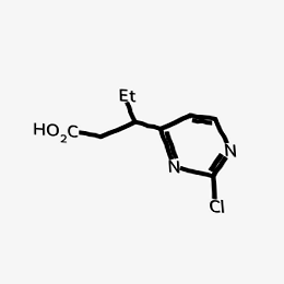 CCC(CC(=O)O)c1ccnc(Cl)n1